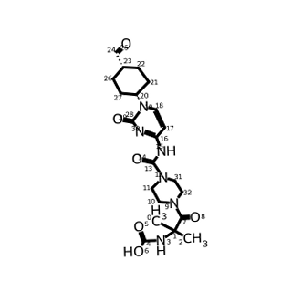 CC(C)(NC(=O)O)C(=O)N1CCN(C(=O)Nc2ccn([C@H]3CC[C@@H](C=O)CC3)c(=O)n2)CC1